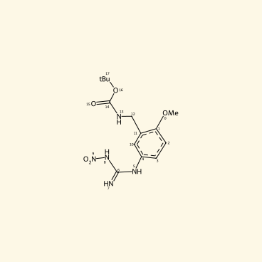 COc1ccc(NC(=N)N[N+](=O)[O-])cc1CNC(=O)OC(C)(C)C